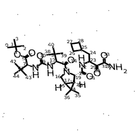 CC(C)(C)OC(=O)[C@@H](NC(=O)N[C@H](C(=O)N1C[C@H]2[C@@H]([C@H]1C(=O)NC(CC1CCC1)C(=O)C(N)=O)C2(C)C)C(C)(C)C)C(C)(C)C